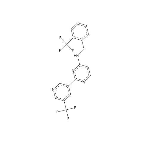 FC(F)(F)c1cncc(-c2nccc(NCc3ccccc3C(F)(F)F)n2)c1